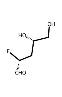 O=C[C@H](F)C[C@H](O)CO